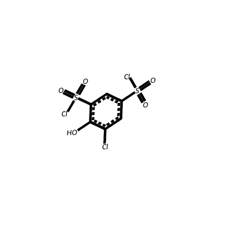 O=S(=O)(Cl)c1cc(Cl)c(O)c(S(=O)(=O)Cl)c1